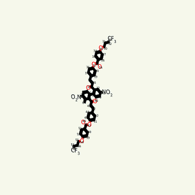 Cc1c([N+](=O)[O-])ccc(-c2ccc([N+](=O)[O-])cc2C(=O)C=Cc2ccc(OC(=O)c3ccc(OCCCC(F)(F)F)cc3)cc2)c1C(=O)C=Cc1ccc(OC(=O)c2ccc(OCCCC(F)(F)F)cc2)cc1